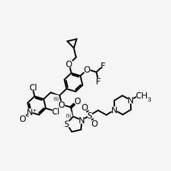 CN1CCN(CCS(=O)(=O)N2CCS[C@H]2C(=O)O[C@@H](Cc2c(Cl)c[n+]([O-])cc2Cl)c2ccc(OC(F)F)c(OCC3CC3)c2)CC1